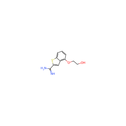 N=C(N)c1cc2c(OCCO)cccc2s1